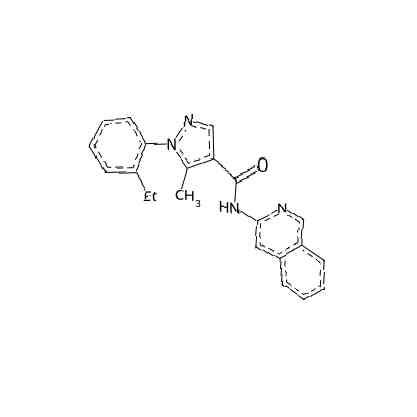 CCc1ccccc1-n1ncc(C(=O)Nc2cc3ccccc3cn2)c1C